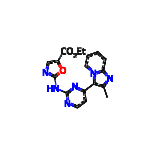 CCOC(=O)c1cnc(Nc2nccc(-c3c(C)nc4ccccn34)n2)o1